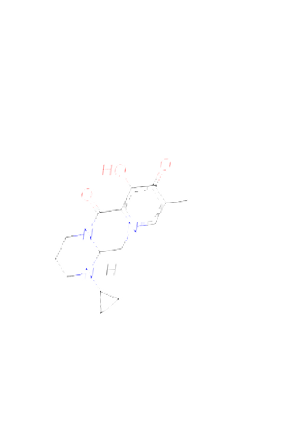 Cc1cn2c(c(O)c1=O)C(=O)N1[C@@H](C)CCN(C3CC3)[C@@H]1C2